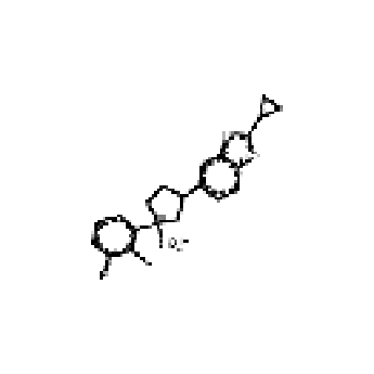 Cc1c(F)cccc1[C@]1(C(=O)O)CCC(c2ccc3oc(C4CC4)nc3c2)C1